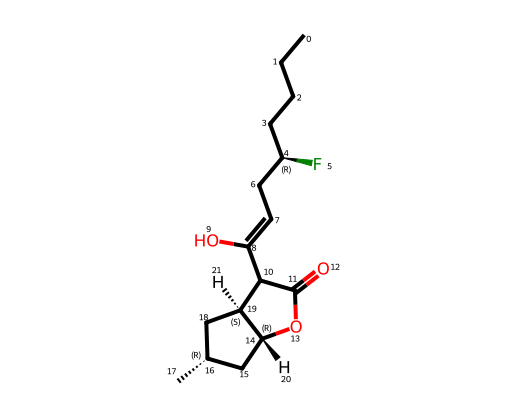 CCCC[C@@H](F)CC=C(O)C1C(=O)O[C@@H]2C[C@H](C)C[C@@H]12